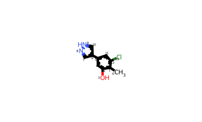 Cc1c(O)cc(-c2cn[nH]c2)cc1Cl